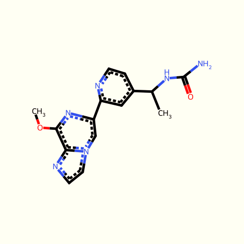 COc1nc(-c2cc(C(C)NC(N)=O)ccn2)cn2ccnc12